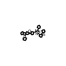 c1ccc(-c2nc(-c3ccc4c(c3)oc3cc5c6ccccc6n(-c6ccccc6)c5cc34)nc(-c3cccc4sc5ccccc5c34)n2)cc1